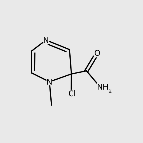 CN1C=CN=CC1(Cl)C(N)=O